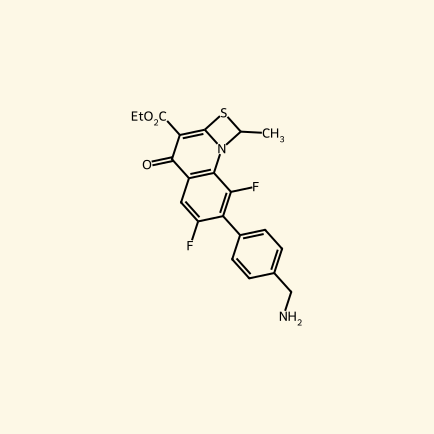 CCOC(=O)c1c2n(c3c(F)c(-c4ccc(CN)cc4)c(F)cc3c1=O)C(C)S2